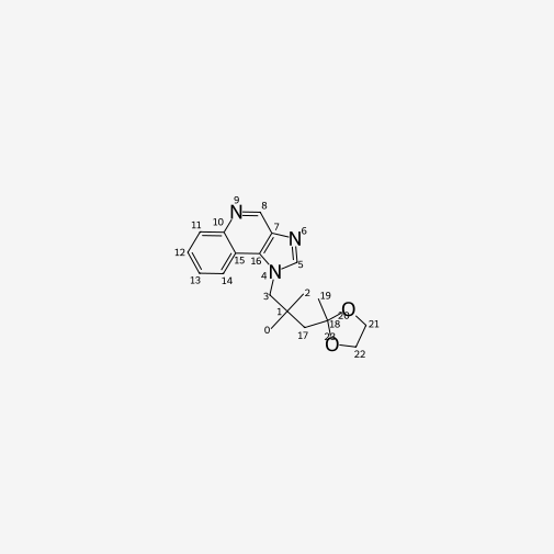 CC(C)(Cn1cnc2cnc3ccccc3c21)CC1(C)OCCO1